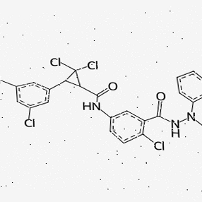 CN(NC(=O)c1cc(NC(=O)C2C(c3cc(Cl)cc(Cl)c3)C2(Cl)Cl)ccc1Cl)c1ccccc1